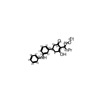 CCCC(=NOCC)C1=C(O)CC(c2cccc(Nc3ccccc3)c2)CC1=O